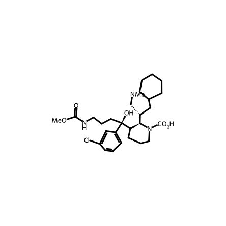 CNC[C@H](CC1CCCCC1)[C@@H]1C([C@@](O)(CCCNC(=O)OC)c2cccc(Cl)c2)CCCN1C(=O)O